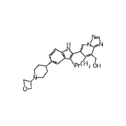 Cc1c(-c2[nH]c3ccc(C4CCN(C5COC5)CC4)cc3c2C(C)C)cn2ncnc2c1CO